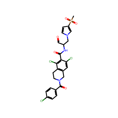 CS(=O)(=O)c1ccn(CC(C=O)NC(=O)c2c(Cl)cc3c(c2Cl)CCN(C(=O)c2ccc(Cl)cc2)C3)c1